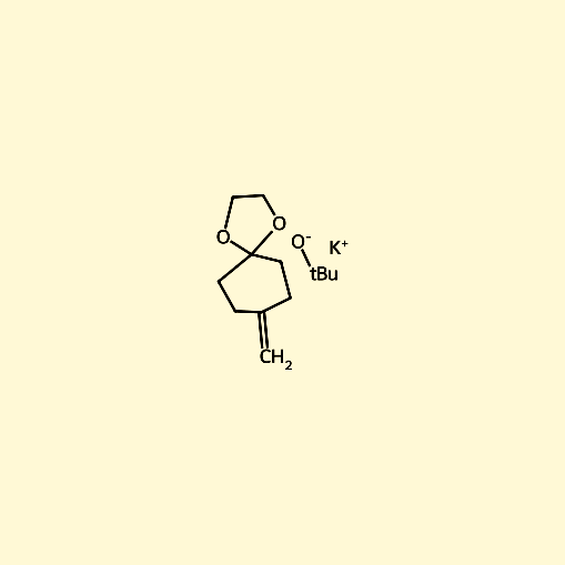 C=C1CCC2(CC1)OCCO2.CC(C)(C)[O-].[K+]